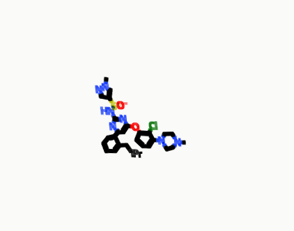 CC(C)Cc1ccccc1-c1cc(Oc2cccc(N3CCN(C)CC3)c2Cl)nc(N[S+]([O-])c2cnn(C)c2)n1